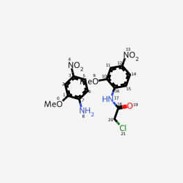 COc1cc([N+](=O)[O-])ccc1N.COc1cc([N+](=O)[O-])ccc1NC(=O)CCl